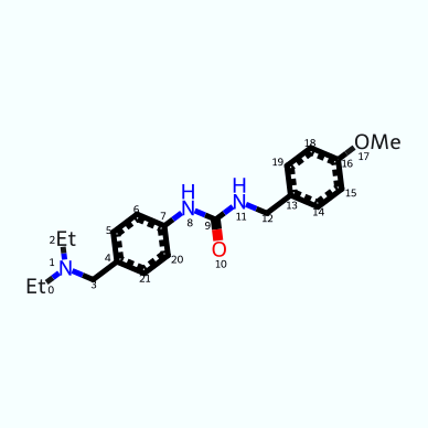 CCN(CC)Cc1ccc(NC(=O)NCc2ccc(OC)cc2)cc1